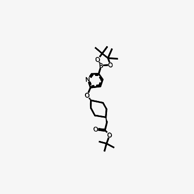 CC(C)(C)OC(=O)C[C@H]1CC[C@@H](Oc2ccc(B3OC(C)(C)C(C)(C)O3)cn2)CC1